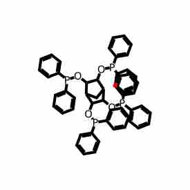 c1ccc(P(OC2C3CC(C2OP(c2ccccc2)c2ccccc2)C(OP(c2ccccc2)c2ccccc2)C3OP(c2ccccc2)c2ccccc2)c2ccccc2)cc1